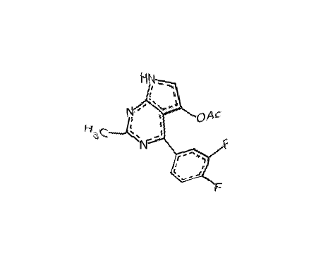 CC(=O)Oc1c[nH]c2nc(C)nc(-c3ccc(F)c(F)c3)c12